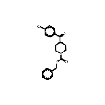 O=C(c1ccc(Cl)cc1)C1CCN(C(=O)OCc2ccccc2)CC1